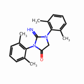 Cc1cccc(C)c1N1CC(=O)N(c2c(C)cccc2C)C1=N